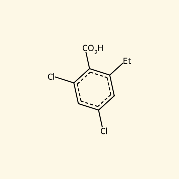 CCc1cc(Cl)cc(Cl)c1C(=O)O